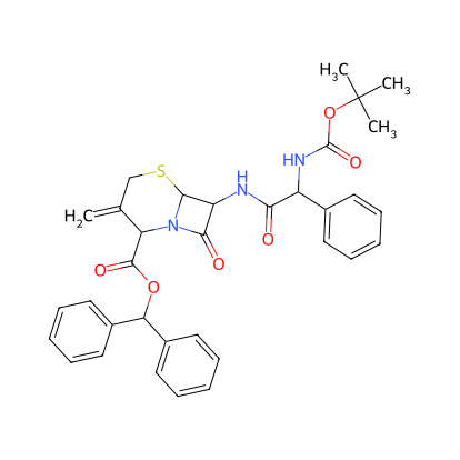 C=C1CSC2C(NC(=O)C(NC(=O)OC(C)(C)C)c3ccccc3)C(=O)N2C1C(=O)OC(c1ccccc1)c1ccccc1